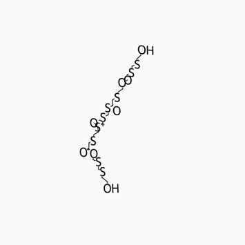 O=C(CSCC[S+]([O-])CSCSC(=O)CSCCOOCSCSCCO)OCSCSCCO